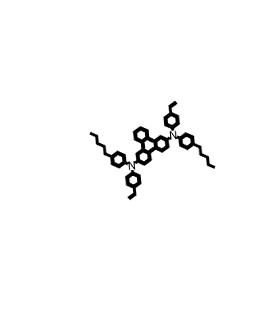 C=Cc1ccc(N(c2ccc(CCCCC)cc2)c2ccc3c4ccc(N(c5ccc(C=C)cc5)c5ccc(CCCCC)cc5)cc4c4ccccc4c3c2)cc1